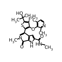 CCNC(=O)c1cc2c(-c3sc(C(C)(C)O)c(F)c3Oc3c(C)ccnc3C)cn(C)c(=O)c2[nH]1